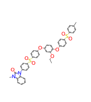 CCOc1cc(Oc2ccc(S(=O)(=O)c3ccc(-n4c(=O)n(C)c5ccccc54)cc3)cc2)ccc1Oc1ccc(S(=O)(=O)c2ccc(C)cc2)cc1